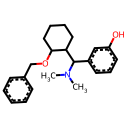 CN(C)C(c1cccc(O)c1)C1CCCCC1OCc1ccccc1